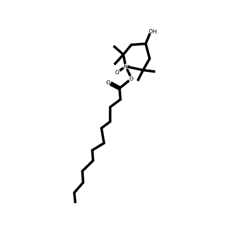 CCCCCCCCCCCC(=O)O[N+]1([O-])C(C)(C)CC(O)CC1(C)C